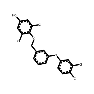 Oc1cc(Cl)c(OCc2cccc(Oc3ccc(Cl)c(Cl)c3)c2)c(Cl)c1